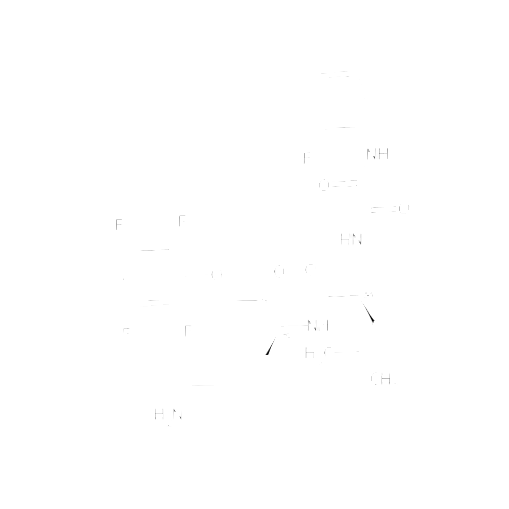 CC(C)C[C@H](CNC(=O)C(=O)Nc1ccccc1F)C(=O)N[C@@H](CCCCN)C(=O)COc1c(F)c(F)cc(F)c1F